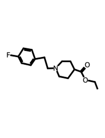 CCOC(=O)C1CCN(CCc2ccc(F)cc2)CC1